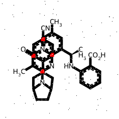 Cc1cc([C@@H](C)Nc2ccccc2C(=O)O)c2nc(N3C4CCC3CN(c3ccc(C#N)cc3)C4)c(C)c(=O)n2c1